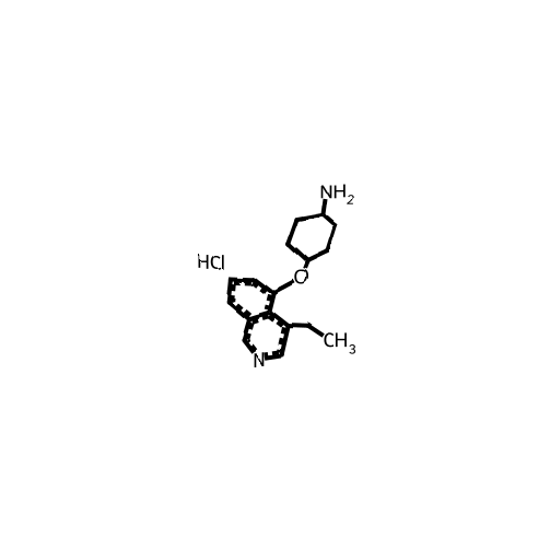 CCc1cncc2cccc(OC3CCC(N)CC3)c12.Cl